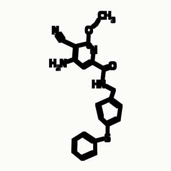 CCOc1nc(C(=O)NCc2ccc(Sc3ccccc3)cc2)cc(N)c1C#N